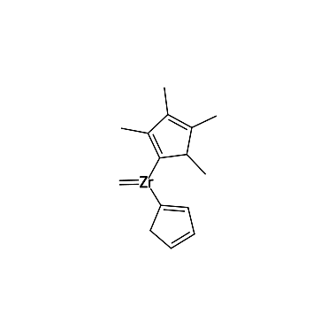 [CH2]=[Zr]([C]1=CC=CC1)[C]1=C(C)C(C)=C(C)C1C